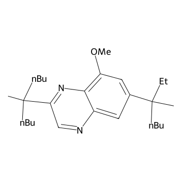 CCCCC(C)(CC)c1cc(OC)c2nc(C(C)(CCCC)CCCC)cnc2c1